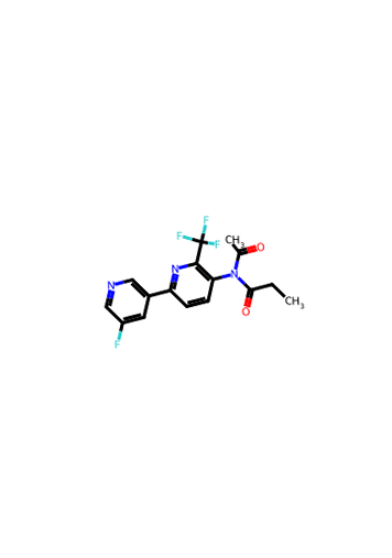 CCC(=O)N(C(C)=O)c1ccc(-c2cncc(F)c2)nc1C(F)(F)F